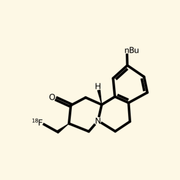 CCCCc1ccc2c(c1)[C@H]1CC(=O)[C@H](C[18F])CN1CC2